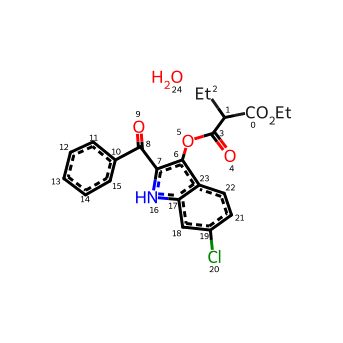 CCOC(=O)C(CC)C(=O)Oc1c(C(=O)c2ccccc2)[nH]c2cc(Cl)ccc12.O